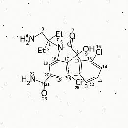 CCC(CC)(CN)N1C(=O)C(O)(c2ccccc2Cl)c2c1cc(C(N)=O)cc2C(F)(F)F